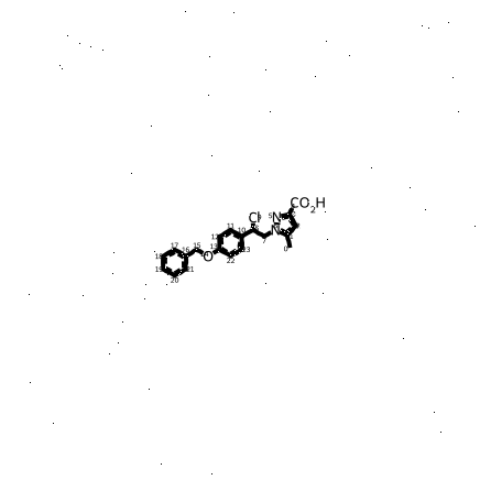 Cc1cc(C(=O)O)nn1CC(Cl)c1ccc(OCc2ccccc2)cc1